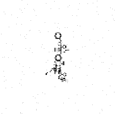 C=CCCNC(=O)[C@@H](CNC(=O)OC(C)(C)C)Nc1cccc([C@H](CC=C)NC(=O)OCc2ccccc2)c1